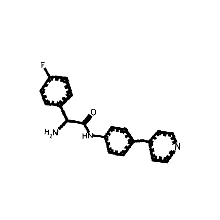 NC(C(=O)Nc1ccc(-c2ccncc2)cc1)c1ccc(F)cc1